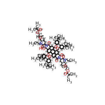 C=C(C)C(=O)OCCOCCN(CCC)C(=O)C(CCCC)N1C(=O)c2cc(Oc3ccc(C(C)(C)C)cc3)c3c4c(Oc5ccc(C(C)(C)C)cc5)cc5c6c(cc(Oc7ccc(C(C)(C)C)cc7)c(c7c(Oc8ccc(C(C)(C)C)cc8)cc(c2c37)C1=O)c64)C(O)N(C(CCCC)C(=O)N(CCC)CCOCCOC(=O)C(=C)C)C5=O